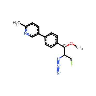 CO[C@H](c1ccc(-c2ccc(C)nc2)cc1)C(CF)N=[N+]=[N-]